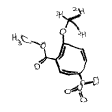 [2H]C([2H])([2H])Oc1ccc(S(=O)(=O)Cl)cc1C(=O)OC